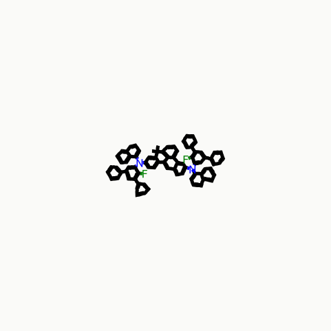 CC1(C)c2cc(N(c3cc(-c4ccccc4)cc(-c4ccccc4)c3F)c3cccc4ccccc34)ccc2-c2cc3ccc(N(c4cc(-c5ccccc5)cc(-c5ccccc5)c4F)c4cccc5ccccc45)cc3c3cccc1c23